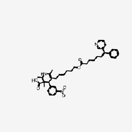 CC1=C(CCCCCCOC(=O)CCCCC=C(c2ccccc2)c2cccnc2)C(c2cccc([N+](=O)[O-])c2)C(C)(C(=O)O)C(C)N1